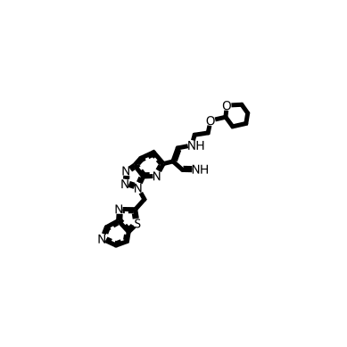 N=C/C(=C\NCCOC1CCCCO1)c1ccc2nnn(Cc3nc4cnccc4s3)c2n1